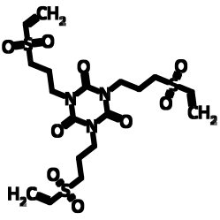 C=CS(=O)(=O)CCCn1c(=O)n(CCCS(=O)(=O)C=C)c(=O)n(CCCS(=O)(=O)C=C)c1=O